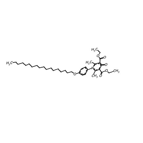 CCCCCCCCCCCCCCCCCCOc1ccc(-n2c(C)c(C(=O)OCC)c(=O)c(C(=O)OCC)c2C)cc1